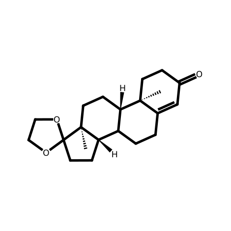 C[C@]12CCC(=O)C=C1CCC1[C@@H]2CC[C@@]2(C)[C@H]1CCC21OCCO1